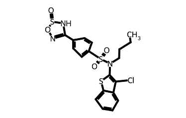 CCCCN(c1sc2ccccc2c1Cl)S(=O)(=O)c1ccc(C2=NOS(=O)N2)cc1